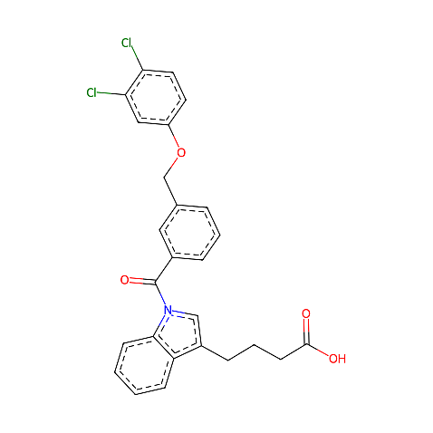 O=C(O)CCCc1cn(C(=O)c2cccc(COc3ccc(Cl)c(Cl)c3)c2)c2ccccc12